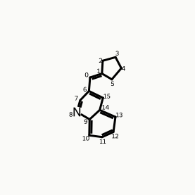 C(=C1CCCC1)c1cnc2ccccc2c1